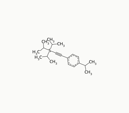 CC(C)c1ccc(C#CS(C(C)C)(C(C)C)C(C)C)cc1